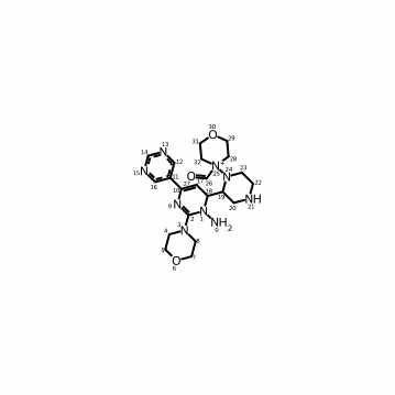 NN1C(N2CCOCC2)=NC(c2cncnc2)=CC1C1CNCCN1[N+]1(C=O)CCOCC1